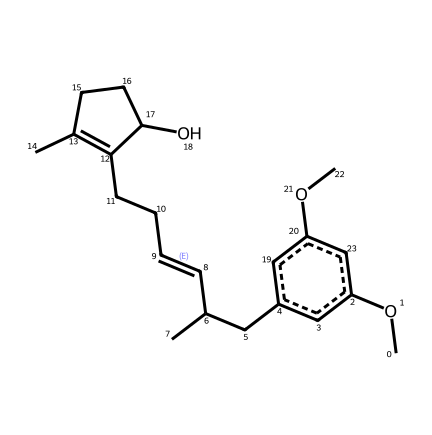 COc1cc(CC(C)/C=C/CCC2=C(C)CCC2O)cc(OC)c1